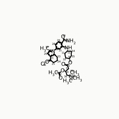 CC(=O)OC(CC(=O)O[C@H]1CC[C@H](Nc2cc(-n3c(C)cc4c3CCCC4=O)ccc2C(N)=O)CC1)C[N+](C)(C)C.[Cl-]